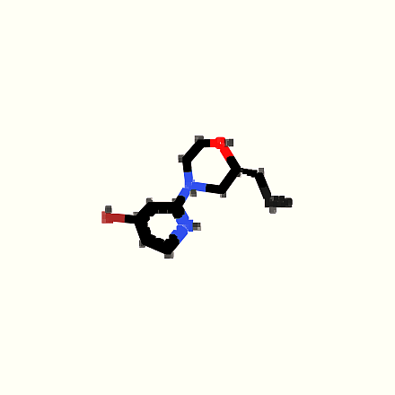 CNC[C@@H]1CN(c2cc(Br)ccn2)CCO1